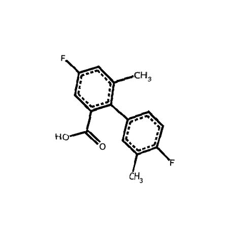 Cc1cc(-c2c(C)cc(F)cc2C(=O)O)ccc1F